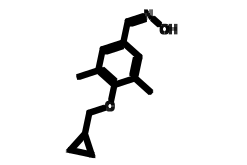 Cc1cc(/C=N\O)cc(C)c1OCC1CC1